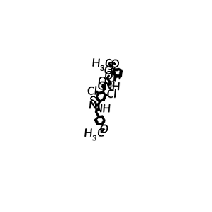 COc1ccc(CNc2nsc3c(Cl)c(C(=O)N[C@@H](Cc4cccc(S(C)(=O)=O)c4)C(=O)O)c(Cl)cc23)cc1